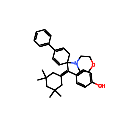 CC1(C)CC(=C(c2ccc(O)cc2)C2(N3CCOCC3)C=CC(c3ccccc3)=CC2)CC(C)(C)C1